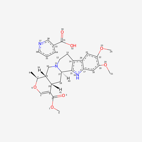 COC(=O)C1=CO[C@@H](C)[C@@H]2CN3CCc4c([nH]c5cc(OC)c(OC)cc45)[C@H]3C[C@H]12.O=C(O)c1cccnc1